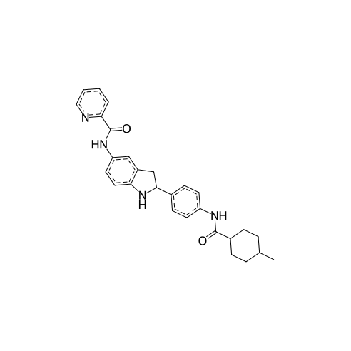 CC1CCC(C(=O)Nc2ccc(C3Cc4cc(NC(=O)c5ccccn5)ccc4N3)cc2)CC1